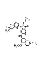 C=CCn1c(=O)c2cnc(Nc3cc4c(c(OC)c3)CCN(C)C4)nc2n1-c1cccc(N=S(C)(C)=O)n1